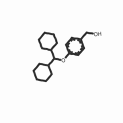 OCc1ccc(OC(C2CCCCC2)C2CCCCC2)cc1